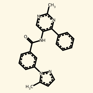 Cc1ncc(NC(=O)c2cccc(-n3nccc3C)c2)c(-c2ccccc2)n1